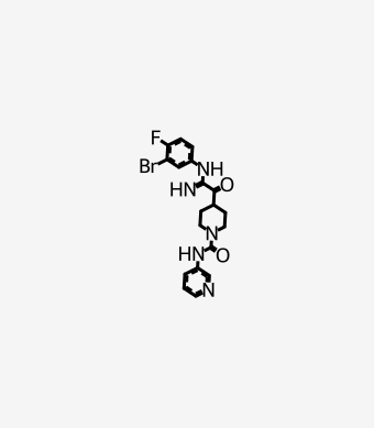 N=C(Nc1ccc(F)c(Br)c1)C(=O)C1CCN(C(=O)Nc2cccnc2)CC1